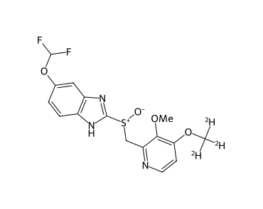 [2H]C([2H])([2H])Oc1ccnc(C[S+]([O-])c2nc3cc(OC(F)F)ccc3[nH]2)c1OC